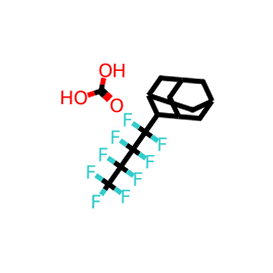 FC(F)(F)C(F)(F)C(F)(F)C(F)(F)C1C2CC3CC(C2)CC1C3.O=C(O)O